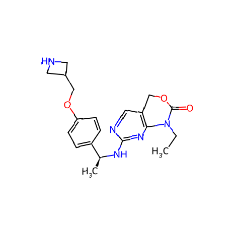 CCN1C(=O)OCc2cnc(N[C@@H](C)c3ccc(OCC4CNC4)cc3)nc21